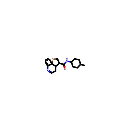 CC1CCC(NC(=O)C2CSC34CC=CC=C3N=CCC24)CC1